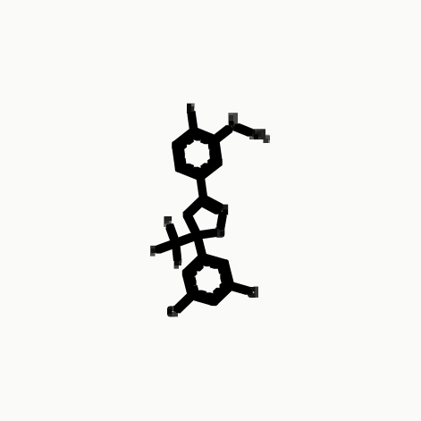 NNc1cc(C2=NOC(c3cc(Cl)cc(Cl)c3)(C(F)(F)F)C2)ccc1F